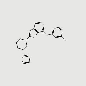 Nc1cc(Nc2nccc3nc(N4CCC[C@@H](c5nccs5)C4)sc23)ncn1